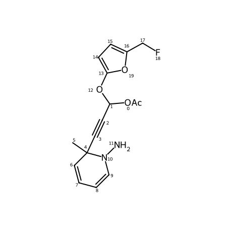 CC(=O)OC(C#CC1(C)C=CC=CN1N)Oc1ccc(CF)o1